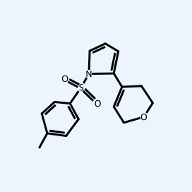 Cc1ccc(S(=O)(=O)n2cccc2C2=CCOCC2)cc1